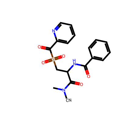 CN(C#N)C(=O)C(CS(=O)(=O)C(=O)c1ccccn1)NC(=O)c1ccccc1